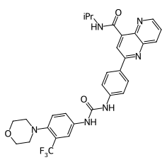 CC(C)NC(=O)c1cc(-c2ccc(NC(=O)Nc3ccc(N4CCOCC4)c(C(F)(F)F)c3)cc2)nc2cccnc12